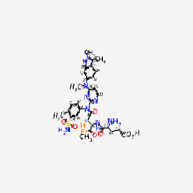 CPC(=O)[C@H](CC(=O)N(c1ccc(C)c(S(N)(=O)=O)c1)c1nccc(N(C)c2ccc3c(C)n(C)nc3c2)n1)NC(=O)[C@@H](N)CCC(=O)O